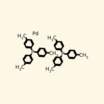 Cc1ccc(P(c2ccc(C)cc2)c2ccc(C)cc2)cc1.Cc1ccc(P(c2ccc(C)cc2)c2ccc(C)cc2)cc1.[Pd]